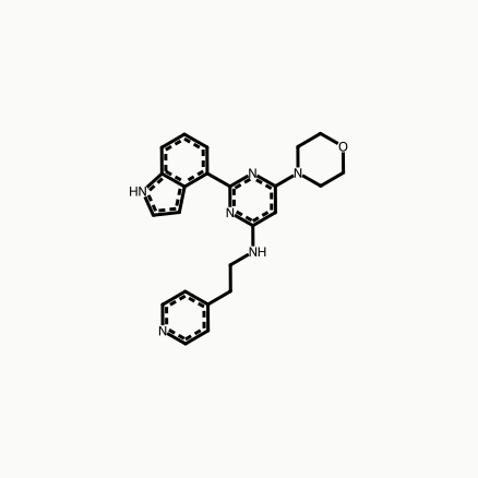 c1cc(-c2nc(NCCc3ccncc3)cc(N3CCOCC3)n2)c2cc[nH]c2c1